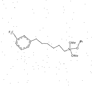 CO[Si](CCCCCCc1cccc(C(F)(F)F)c1)(OC)OC(C)C